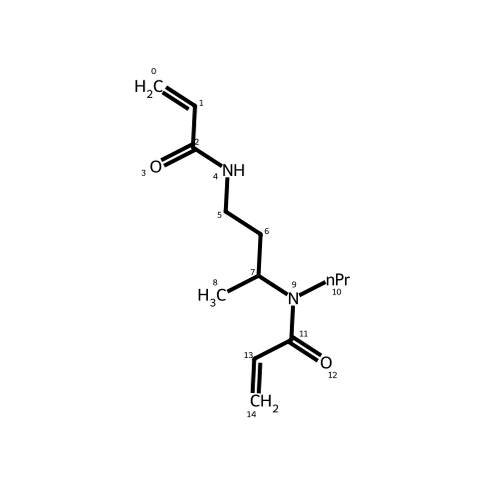 C=CC(=O)NCCC(C)N(CCC)C(=O)C=C